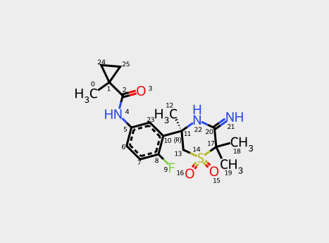 CC1(C(=O)Nc2ccc(F)c([C@]3(C)CS(=O)(=O)C(C)(C)C(=N)N3)c2)CC1